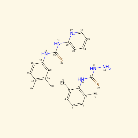 CCc1cccc(CC)c1NC(=S)NN.Cc1ccc(NC(=S)Nc2ccccn2)cc1C